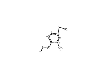 CCOc1ccc(CCl)cc1O